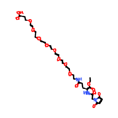 CCOC(=O)[C@H](CCC(=O)NCCOCCOCCOCCOCCOCCOCCOCCOCCC(=O)O)NC(=O)CN1C(=O)C=CC1=O